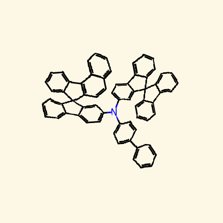 c1ccc(-c2ccc(N(c3ccc4c(c3)C3(c5ccccc5-c5ccccc53)c3ccccc3-4)c3ccc4c(c3)C3(c5ccccc5-4)c4ccccc4-c4c3ccc3ccccc43)cc2)cc1